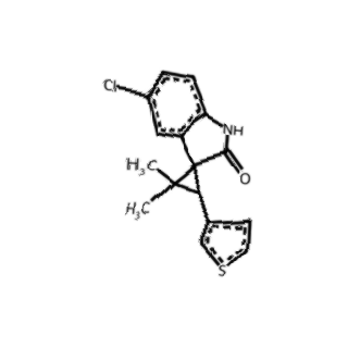 CC1(C)C(c2ccsc2)C12C(=O)Nc1ccc(Cl)cc12